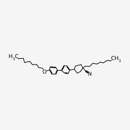 CCCCCCCCCOc1ccc(-c2ccc(C3CCC(C#N)(CCCCCCCCC)CC3)cc2)cc1